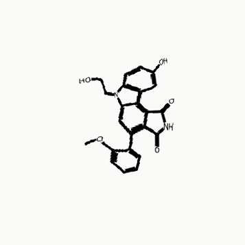 COc1ccccc1-c1cc2c(c3c1C(=O)NC3=O)c1cc(O)ccc1n2CCO